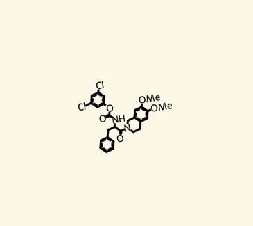 COc1cc2c(cc1OC)CN(C(=O)C(Cc1ccccc1)NC(=O)Oc1cc(Cl)cc(Cl)c1)CC2